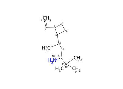 C=CC1CCC1C(C)CC(N)C(C)(C)C